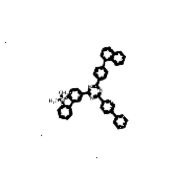 C[Si]1(C)c2ccccc2-c2cc(-c3nc(-c4ccc(-c5ccccc5)cc4)nc(-c4ccc(-c5cccc6ccccc56)cc4)n3)ccc21